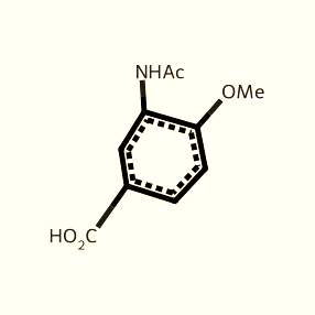 COc1ccc(C(=O)O)cc1NC(C)=O